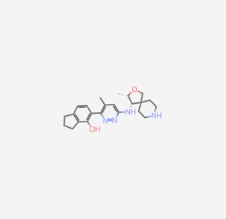 Cc1cc(N[C@@H]2[C@H](C)OCC23CCNCC3)nnc1-c1ccc2c(c1O)CCC2